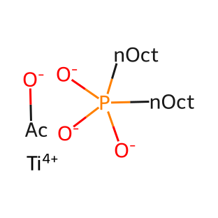 CC(=O)[O-].CCCCCCCCP([O-])([O-])([O-])CCCCCCCC.[Ti+4]